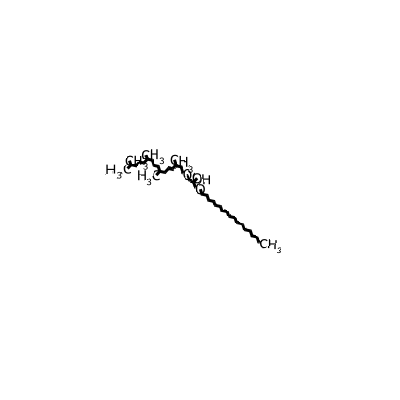 CCCCCCCCCCCCCCCCCCOCC(O)COCCC(C)CCCC(C)CCCC(C)CCCC(C)C